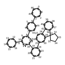 c1ccc(-c2ccc(-c3cc(-c4ccccc4)nc(-c4ccccc4-c4ccc5c(c4)C4(CCCC4)c4ccccc4-5)n3)cc2)cc1